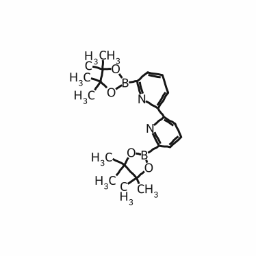 CC1(C)OB(c2cccc(-c3cccc(B4OC(C)(C)C(C)(C)O4)n3)n2)OC1(C)C